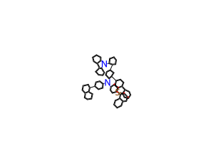 c1ccc(-n2c3ccccc3c3ccccc32)c(-c2ccc(N(c3ccc(-c4cccc5ccccc45)cc3)c3ccc(-c4cccc5ccccc45)cc3)c(-c3ccc4c(c3)sc3ccccc34)c2)c1